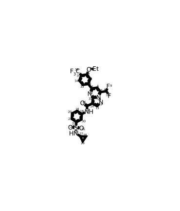 CCOc1cc(-c2cc(C(F)F)n3ncc(C(=O)Nc4cccc(S(=O)(=O)NC5CC5)c4)c3n2)ccc1C(F)(F)F